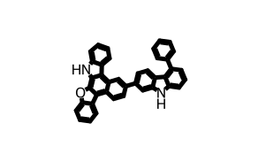 c1ccc(-c2cccc3[nH]c4cc(-c5ccc6c(c5)c5c7ccccc7[nH]c5c5oc7ccccc7c65)ccc4c23)cc1